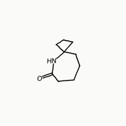 O=C1CCCCC2(CCC2)N1